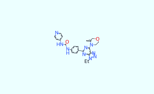 CCn1nnc2c(N3CCOC[C@@H]3C)nc(-c3ccc(NC(=O)Nc4ccncc4)cc3)nc21